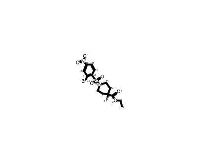 CCOC(=O)C1(F)CCN(S(=O)(=O)c2ccc([N+](=O)[O-])cc2Br)CC1